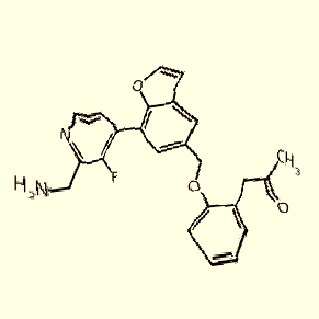 CC(=O)Cc1ccccc1OCc1cc(-c2ccnc(CN)c2F)c2occc2c1